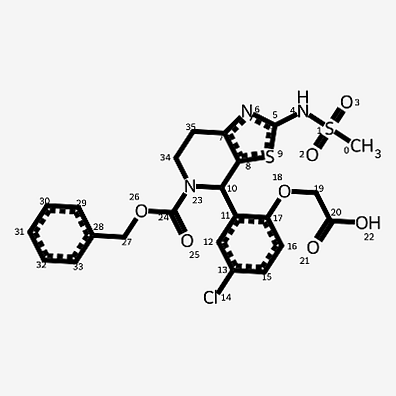 CS(=O)(=O)Nc1nc2c(s1)C(c1cc(Cl)ccc1OCC(=O)O)N(C(=O)OCc1ccccc1)CC2